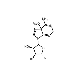 COC12N=CN([C@@H]3O[C@H](C)[C@@H](O)[C@H]3O)C1=NCN=C2N